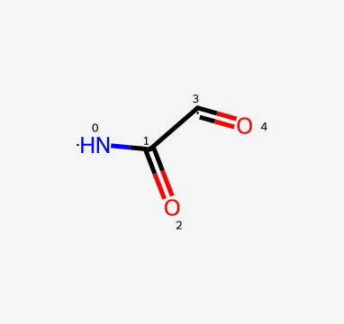 [NH]C(=O)[C]=O